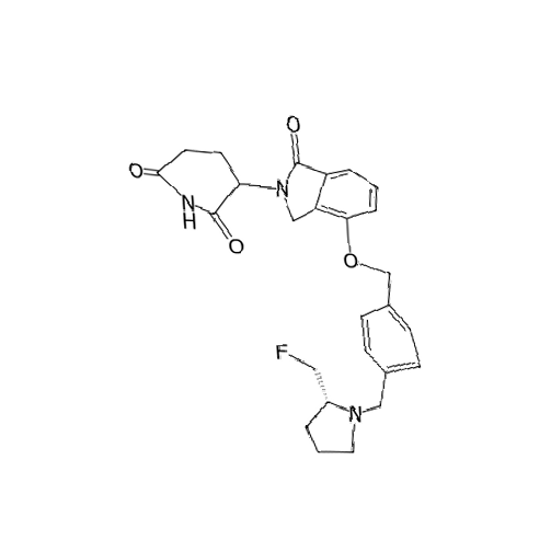 O=C1CCC(N2Cc3c(OCc4ccc(CN5CCC[C@@H]5CF)cc4)cccc3C2=O)C(=O)N1